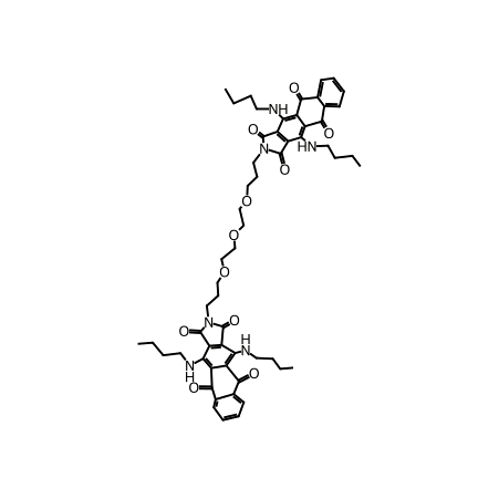 CCCCNc1c2c(=O)c3ccccc3c(=O)c2c(NCCCC)c2c(=O)n(CCCOCCOCCOCCCn3c(=O)c4c(NCCCC)c5c(=O)c6ccccc6c(=O)c5c(NCCCC)c4c3=O)c(=O)c12